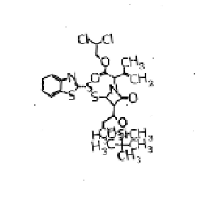 C=C(C)C(C(=O)OCC(Cl)Cl)N1C(=O)[C@@H](C(CC)O[Si](C)(C)C(C)(C)C)[C@H]1SSc1nc2ccccc2s1